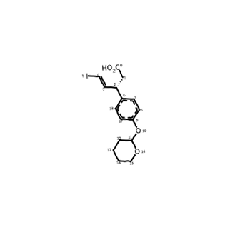 O=C(O)C[C@@H](C=CI)c1ccc(OC2CCCCO2)cc1